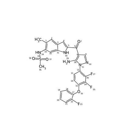 Cc1cc2cc(C(=O)c3cnn(-c4ccc(Oc5ccccc5F)c(F)c4F)c3N)[nH]c2cc1NS(C)(=O)=O